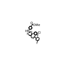 COC(=O)c1ccc(Nc2ncc3c(n2)-c2ccc(Cl)cc2C(C2=CC(F)=CCC2F)=NC3)cc1